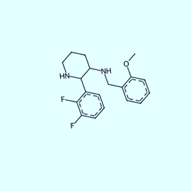 COc1ccccc1CNC1CCCNC1c1cccc(F)c1F